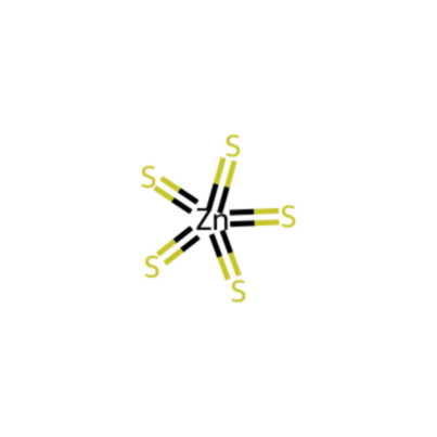 [S]=[Zn](=[S])(=[S])(=[S])=[S]